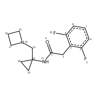 O=C(Cc1c(F)cccc1F)NC1(CN2CCC2)CC1